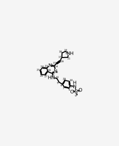 CS(=O)(=O)Nc1ccc(CCNc2nc(C#CC3CCNC3)nc3ccccc23)cc1